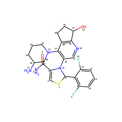 NC(=O)C1=CSC(c2c(F)cccc2F)N1c1cnc2c(c1N1CCCC(N)C1)CCC2O